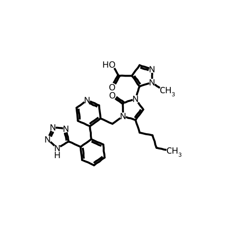 CCCCc1cn(-c2c(C(=O)O)cnn2C)c(=O)n1Cc1cnccc1-c1ccccc1-c1nnn[nH]1